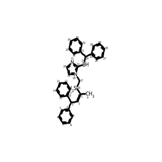 CC(=CC(c1ccccc1)c1ccccc1)[SiH2]Cn1ccnc1BC(c1ccccc1)c1ccccc1